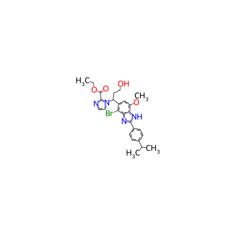 CCOC(=O)c1nccn1C(CCO)c1cc(OC)c2[nH]c(-c3ccc(C(C)C)cc3)nc2c1Br